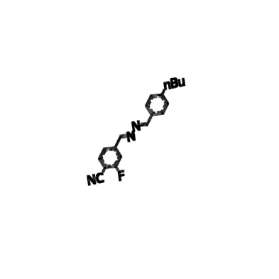 CCCCc1ccc(/C=N/N=C/c2ccc(C#N)c(F)c2)cc1